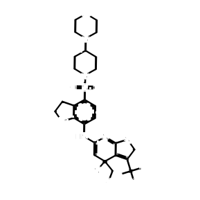 CCC1(N)C=C(Nc2ccc(S(=O)(=O)N3CCC(N4CCOCC4)CC3)c3c2OCC3)N=C2NCC(C(F)(F)F)=C21